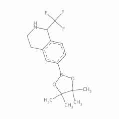 CC1(C)OB(c2ccc3c(c2)CCNC3C(F)(F)F)OC1(C)C